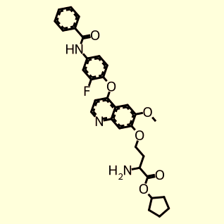 COc1cc2c(Oc3ccc(NC(=O)c4ccccc4)cc3F)ccnc2cc1OCCC(N)C(=O)OC1CCCC1